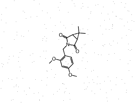 COc1ccc(CN2C(=O)C3C(C2=O)C3(C)C)c(OC)c1